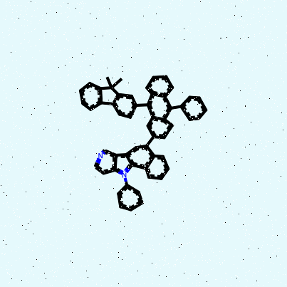 CC1(C)c2ccccc2-c2ccc(-c3c4ccccc4c(-c4ccccc4)c4ccc(-c5cc6c7cnccc7n(-c7ccccc7)c6c6ccccc56)cc34)cc21